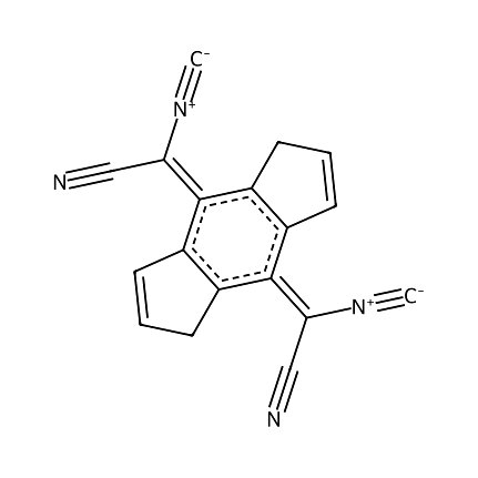 [C-]#[N+]/C(C#N)=c1\c2c(/c(=C(/C#N)[N+]#[C-])c3c1CC=C3)CC=C2